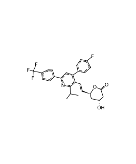 CC(C)c1nc(-c2ccc(C(F)(F)F)cc2)cc(-c2ccc(F)cc2)c1/C=C/[C@@H]1C[C@@H](O)CC(=O)O1